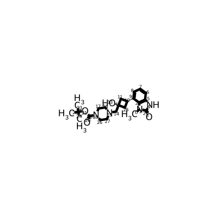 Cn1c(=O)[nH]c2cccc([C@H]3C[C@](O)(CN4CCN(C(=O)OC(C)(C)C)CC4)C3)c21